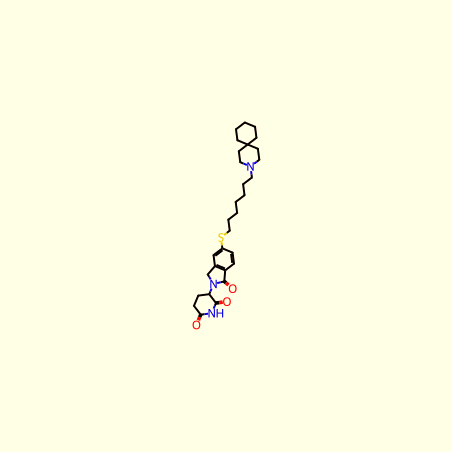 O=C1CCC(N2Cc3cc(SCCCCCCCN4CCC5(CCCCC5)CC4)ccc3C2=O)C(=O)N1